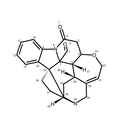 O=CC12[C@@H]3C4CC(=O)N1c1ccccc1[C@@]21CCN2CC(=CCO4)[C@@H]3C[C@H]21